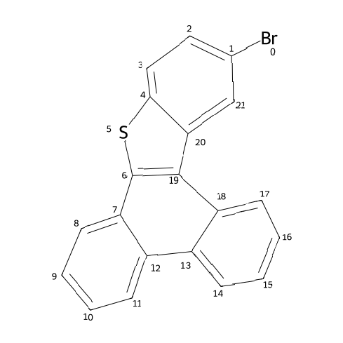 Brc1ccc2sc3c4ccccc4c4ccccc4c3c2c1